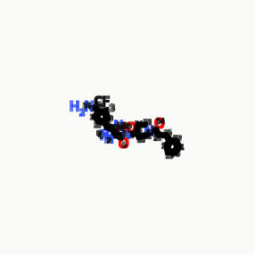 Cn1nc2c(=O)n(CC3(O)CCN(C(=O)CCc4ccccc4)CC3)cnc2c1-c1ccc(C(N)C(F)(F)F)cc1